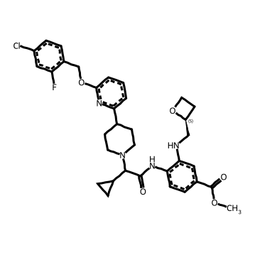 COC(=O)c1ccc(NC(=O)C(C2CC2)N2CCC(c3cccc(OCc4ccc(Cl)cc4F)n3)CC2)c(NC[C@@H]2CCO2)c1